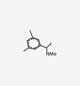 CNC(I)c1cc(C)cc(C)c1